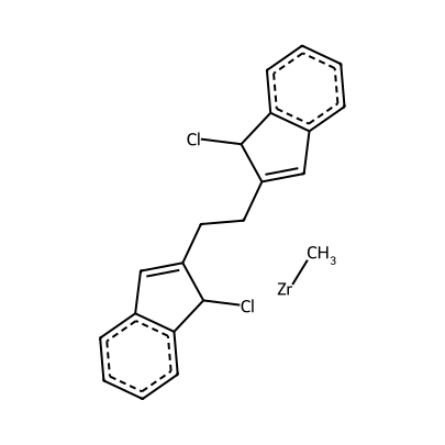 ClC1C(CCC2=Cc3ccccc3C2Cl)=Cc2ccccc21.[CH3][Zr]